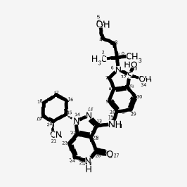 CC(C)(CCO)N1Cc2cc(Nc3nn([C@H]4CCCC[C@@H]4C#N)c4cc[nH]c(=O)c34)ccc2S1(O)O